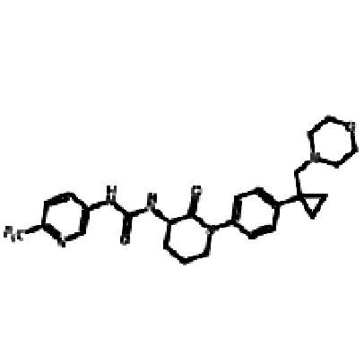 O=C(Nc1ccc(C(F)(F)F)nc1)N[C@@H]1CCCN(c2ccc(C3(CN4CCOCC4)CC3)cc2)C1=O